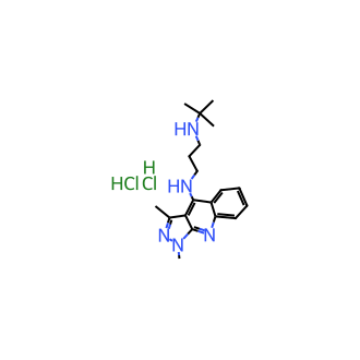 Cc1nn(C)c2nc3ccccc3c(NCCCNC(C)(C)C)c12.Cl.Cl